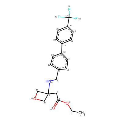 CCOC(=O)CC1(NCc2ccc(-c3ccc(C(F)(F)F)cc3)cc2)COC1